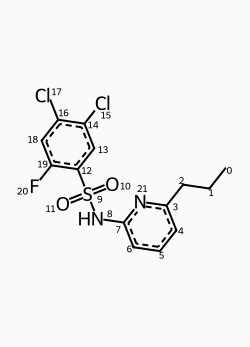 CCCc1cccc(NS(=O)(=O)c2cc(Cl)c(Cl)cc2F)n1